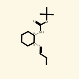 CCC=C[C@@H]1CCCC[C@@H]1NC(=O)OC(C)(C)C